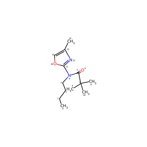 CCCCN(C(=O)C(C)(C)C)c1nc(C)co1